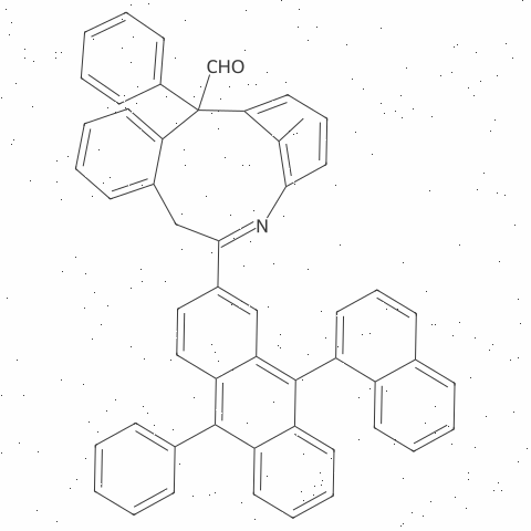 Cc1c2cccc1C(C=O)(c1ccccc1)c1ccccc1C/C(c1ccc3c(-c4ccccc4)c4ccccc4c(-c4cccc5ccccc45)c3c1)=N\2